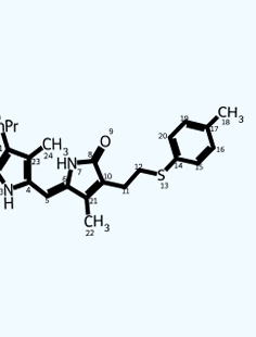 CCCc1c[nH]c(/C=C2\NC(=O)C(CCSc3ccc(C)cc3)=C2C)c1C